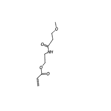 C=CC(=O)OCCNC(=O)CCOC